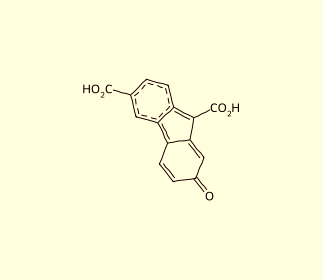 O=C1C=CC2=c3cc(C(=O)O)ccc3=C(C(=O)O)C2=C1